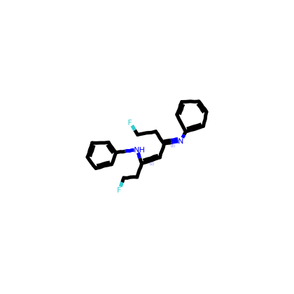 FCC/C(=C/C(CCF)=N/c1ccccc1)Nc1ccccc1